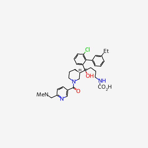 CCc1cccc(-c2c(Cl)cccc2[C@](O)(CCCNC(=O)O)[C@@H]2CCCN(C(=O)c3ccc(CNC)nc3)C2)c1